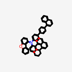 c1ccc(N(c2ccc(-c3ccc(-c4cccc5ccccc45)cc3)cc2)c2cccc3oc4ccccc4c23)c(-c2cccc3cccc(C4CCCCC4)c23)c1